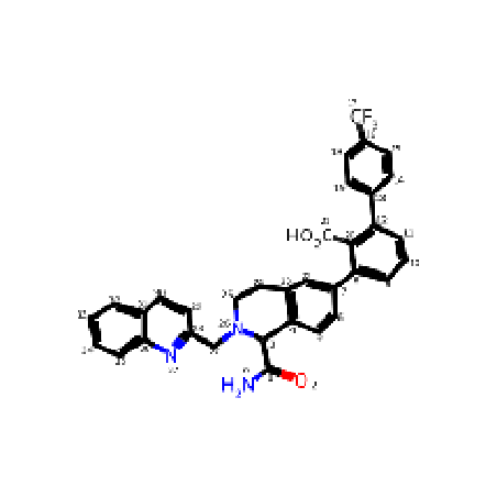 NC(=O)C1c2ccc(-c3cccc(-c4ccc(C(F)(F)F)cc4)c3C(=O)O)cc2CCN1Cc1ccc2ccccc2n1